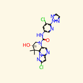 CC1(C)c2c(cnc3cc(Cl)nn23)N(C(=O)Nc2cnc(-n3nccn3)c(Cl)c2)C[C@H]1O